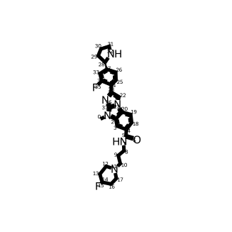 Cn1c2cc(C(=O)NCCCN3CCC(F)CC3)ccc2n2cc(-c3ccc([C@H]4CCCN4)cc3F)nc12